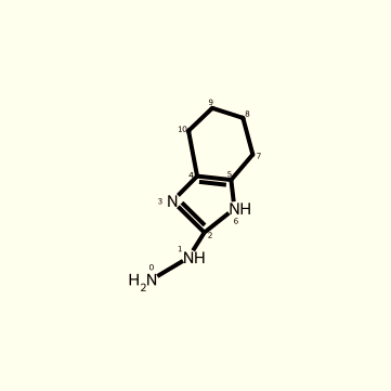 NNc1nc2c([nH]1)CCCC2